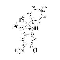 CC(C)N1c2cc(N)c(Cl)cc2NC1(C(C)C)N1CCN(C)CC1